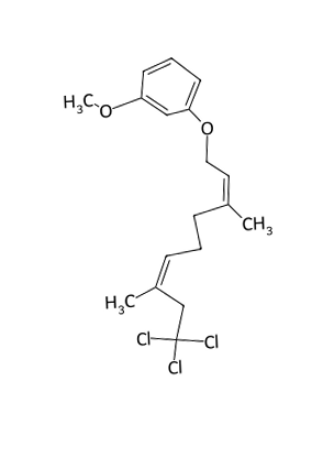 COc1cccc(OCC=C(C)CCC=C(C)CC(Cl)(Cl)Cl)c1